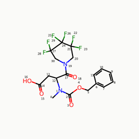 CN(C(=O)OCc1ccccc1)C(CC(=O)O)C(=O)N1CC(F)(F)C(F)(F)C(F)(F)C1